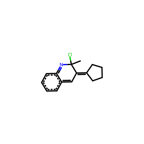 CC1(Cl)N=c2ccccc2=CC1=C1CCCC1